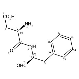 N[C@H](CC(=O)O)C(=O)N[C@H](C=O)Cc1ccccc1